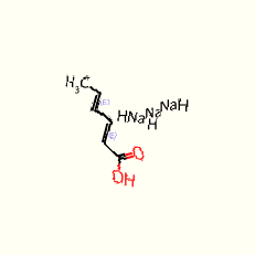 C/C=C/C=C/C(=O)O.[NaH].[NaH].[NaH]